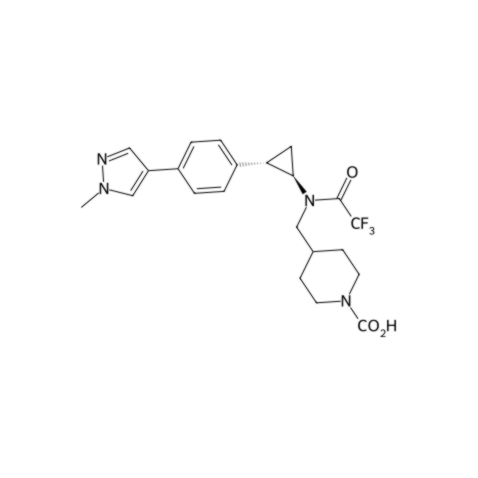 Cn1cc(-c2ccc([C@@H]3C[C@H]3N(CC3CCN(C(=O)O)CC3)C(=O)C(F)(F)F)cc2)cn1